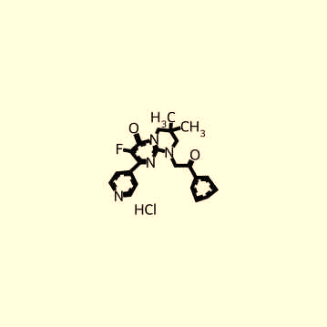 CC1(C)CN(CC(=O)c2ccccc2)c2nc(-c3ccncc3)c(F)c(=O)n2C1.Cl